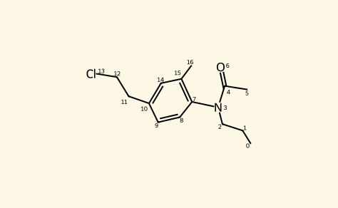 CCCN(C(C)=O)c1ccc(CCCl)cc1C